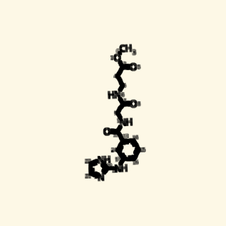 COC(=O)CCNC(=O)CNC(=O)c1cccc(Nc2ncc[nH]2)c1